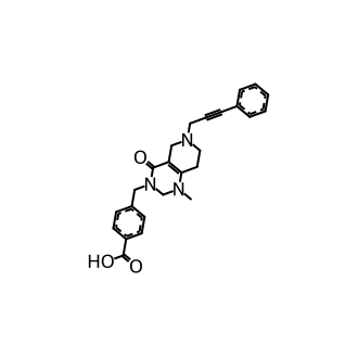 CN1CN(Cc2ccc(C(=O)O)cc2)C(=O)C2=C1CCN(CC#Cc1ccccc1)C2